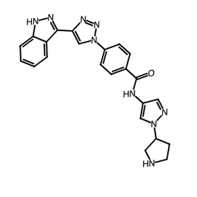 O=C(Nc1cnn(C2CCNC2)c1)c1ccc(-n2cc(-c3n[nH]c4ccccc34)nn2)cc1